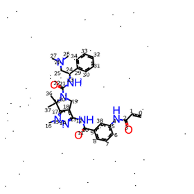 C=CC(=O)Nc1cccc(C(=O)Nc2nn(C)c3c2CN(C(=O)NC(CN(C)C)c2ccccc2)C3(C)C)c1